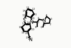 CC1CCCN1CC(C)N1c2ccccc2Sc2ccc(C#N)cc21